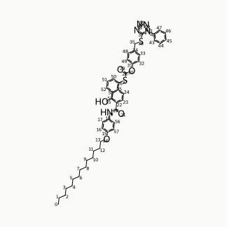 CCCCCCCCCCCCCCOc1ccc(NC(=O)c2ccc3c(SC(=O)Oc4ccc(CSc5nnnn5-c5ccccc5)cc4)cccc3c2O)cc1